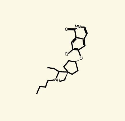 CCCCNC(CC)[C@]1(CC)CC[C@H](Oc2cc3cc[nH]c(=O)c3cc2Cl)CC1